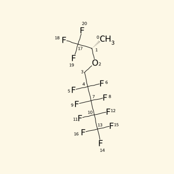 C[C@H](OCC(F)(F)C(F)(F)C(F)(F)C(F)(F)F)C(F)(F)F